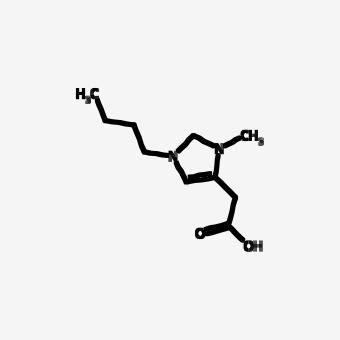 CCCCN1C=C(CC(=O)O)N(C)C1